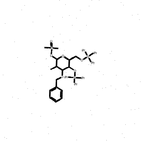 CC1C(OP(C)(C)=O)OC(CO[Si](C(C)C)(C(C)C)C(C)C)C(O[Si](C(C)C)(C(C)C)C(C)C)C1OCc1ccccc1